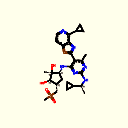 Cc1nc(N[C@H](C)C2CC2)nc(N[C@@H]2C[C@H](CS(C)(=O)=O)[C@@H](O)[C@@]2(C)O)c1-c1nc2c(C3CC3)nccc2s1